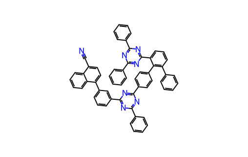 N#Cc1ccc(-c2cccc(-c3nc(-c4ccccc4)nc(-c4ccc(-c5c(-c6ccccc6)cccc5-c5nc(-c6ccccc6)nc(-c6ccccc6)n5)cc4)n3)c2)c2ccccc12